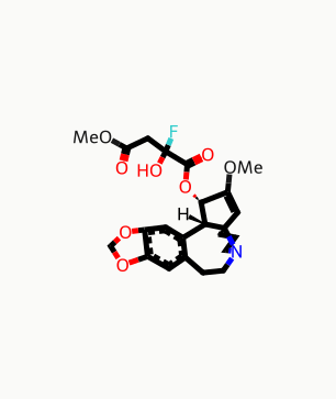 COC(=O)CC(O)(F)C(=O)O[C@@H]1C(OC)=C[C@]23CCCN2CCc2cc4c(cc2[C@H]13)OCO4